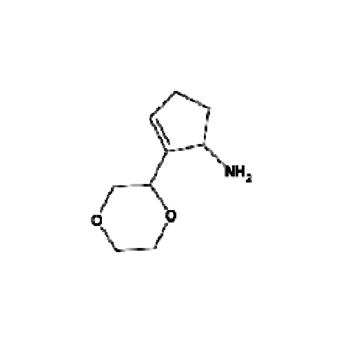 NC1CCC=C1C1COCCO1